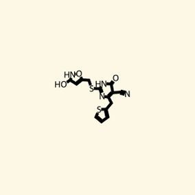 N#Cc1c(Cc2cccs2)nc(SCC2=CC(O)NO2)[nH]c1=O